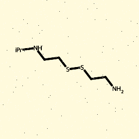 CC(C)NCCSSCCN